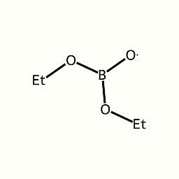 CCOB([O])OCC